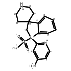 CCCS(=O)(=O)[N+]1(c2cc(N)ccn2)CC2(CCNCC2)c2ccccc21